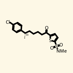 CNS(=O)(=O)c1ccc(C(=O)CCCC[C@H](C)c2ccc(Cl)cc2)s1